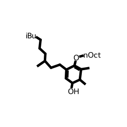 CCCCCCCCOC1=C(C)C(C)C(O)C=C1CCC(C)CCCC(C)CC